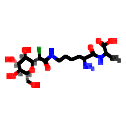 CC(NC(=O)C(N)CCCCNC(=O)C(F)[C@@H]1O[C@H](CO)[C@@H](O)[C@H](O)[C@H]1O)C(=O)O